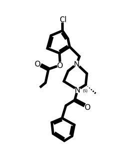 CCC(=O)Oc1ccc(Cl)cc1CN1CCN(C(=O)Cc2ccccc2)[C@@H](C)C1